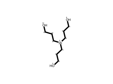 OCC[CH2][Sb]([CH2]CCO)[CH2]CCO